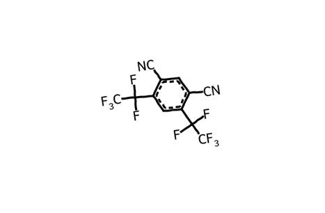 N#Cc1cc(C#N)c(C(F)(F)C(F)(F)F)cc1C(F)(F)C(F)(F)F